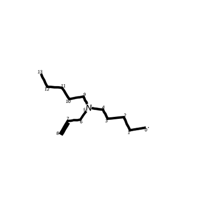 [CH2]CCCCN(CC=C)CCCCC